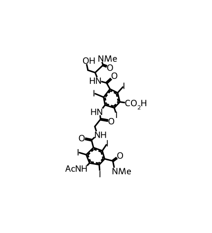 CNC(=O)c1c(I)c(NC(C)=O)c(I)c(C(=O)NCC(=O)Nc2c(I)c(C(=O)O)c(I)c(C(=O)NC(CO)C(=O)NC)c2I)c1I